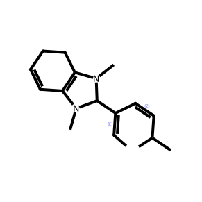 C/C=C(\C=C/C(C)C)C1N(C)C2=C(CCC=C2)N1C